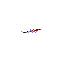 CCCCCCCCC[C@H]1CC[C@H](CCc2cnc(-c3ccc(OC(=O)C4CCC(CCCCC)CC4)cc3)nc2)CC1